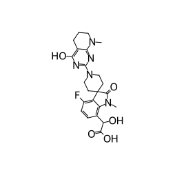 CN1CCCc2c(O)nc(N3CCC4(CC3)C(=O)N(C)c3c(C(O)C(=O)O)ccc(F)c34)nc21